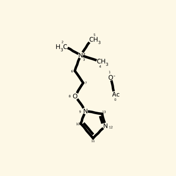 CC(=O)[O-].C[N+](C)(C)CCOn1ccnc1